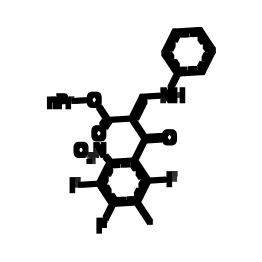 CCCOC(=O)/C(=C/Nc1ccccc1)C(=O)c1c(F)c(C)c(F)c(F)c1[N+](=O)[O-]